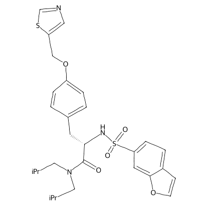 CC(C)CN(CC(C)C)C(=O)[C@H](Cc1ccc(OCc2cncs2)cc1)NS(=O)(=O)c1ccc2ccoc2c1